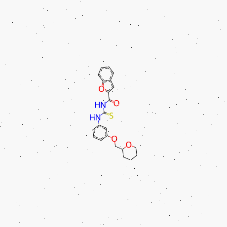 O=C(NC(=S)Nc1cccc(OCC2CCCCO2)c1)c1cc2ccccc2o1